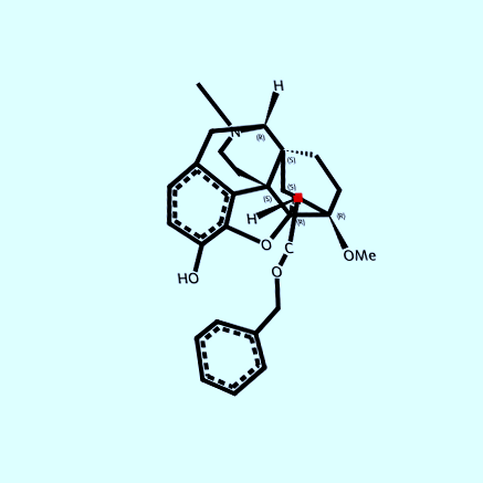 CO[C@]12CC[C@@]3(C[C@H]1COCc1ccccc1)[C@H]1Cc4ccc(O)c5c4[C@@]3(CCN1C)[C@H]2O5